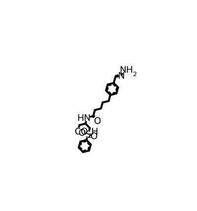 NN=Cc1ccc(CCCCC(=O)NC(CC(=O)O)CS(=O)(=O)c2ccccc2)cc1